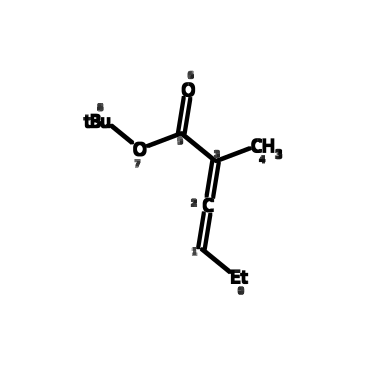 CCC=C=C(C)C(=O)OC(C)(C)C